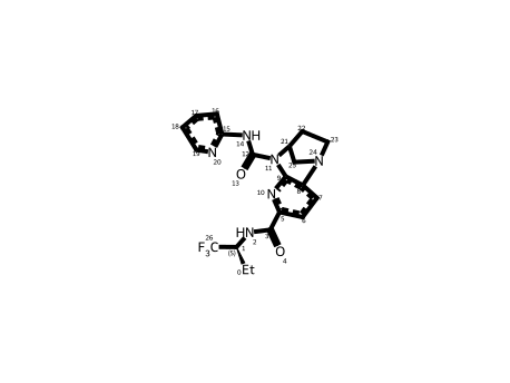 CC[C@H](NC(=O)c1ccc2c(n1)N(C(=O)Nc1ccccn1)C1CCN2C1)C(F)(F)F